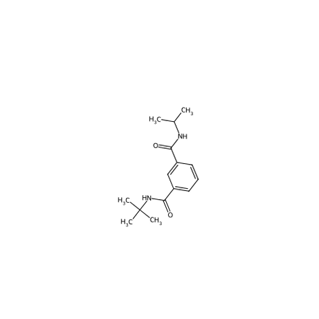 CC(C)NC(=O)c1cccc(C(=O)NC(C)(C)C)c1